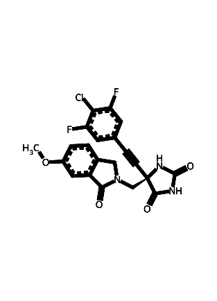 COc1ccc2c(c1)C(=O)N(C[C@@]1(C#Cc3cc(F)c(Cl)c(F)c3)NC(=O)NC1=O)C2